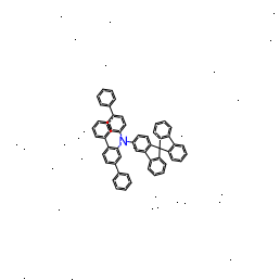 c1ccc(-c2ccc(N(c3ccc4c(c3)-c3ccccc3C43c4ccccc4-c4ccccc43)c3cc(-c4ccccc4)ccc3-c3ccccc3)cc2)cc1